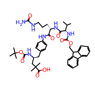 CC(C)[C@H](NC(=O)OCC1c2ccccc2-c2ccccc21)C(=O)N[C@@H](CCCNC(N)=O)C(=O)Nc1ccc(C[C@@H](CC(C)(C)C(=O)O)NC(=O)OC(C)(C)C)cc1